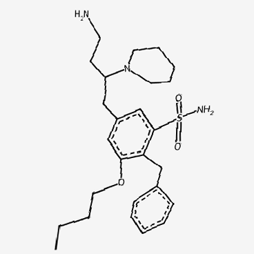 CCCCOc1cc(CC(CCN)N2CCCCC2)cc(S(N)(=O)=O)c1Cc1ccccc1